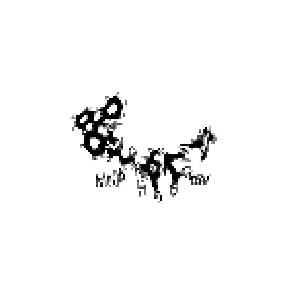 CON=C(C(=O)NC1C(=O)N2C(C(=O)OC(C)(C)C)=C(CSc3nnnn3C)SCC12)c1csc(NC(c2ccccc2)(c2ccccc2)c2ccccc2)n1